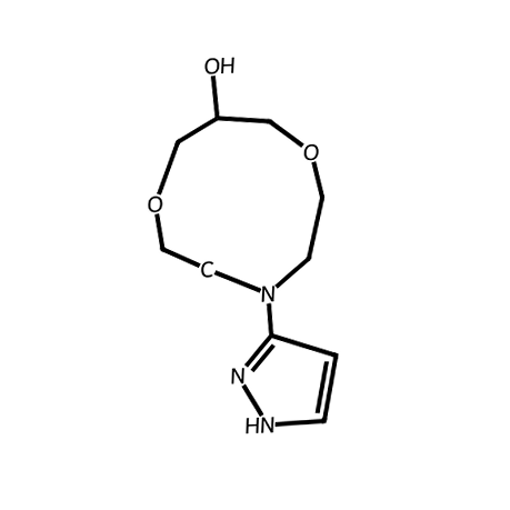 OC1COCCN(c2cc[nH]n2)CCOC1